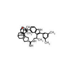 Cc1cc(C)cc(-c2[nH]c3ccc(C(C)(C)C(=O)N4CC5CCC4CC5)cc3c2[C@@H](C)CNC(=N)N2CCC(c3ccncc3)C2)c1